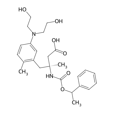 Cc1ccc(N(CCO)CCO)cc1C[C@@](C)(CC(=O)O)NC(=O)OC(C)c1ccccc1